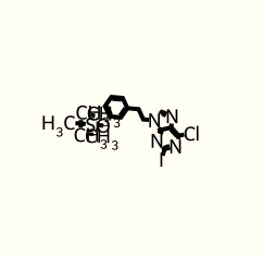 CC(C)(C)[Si](C)(C)Oc1cccc(CCn2cnc3c(Cl)nc(I)nc32)c1